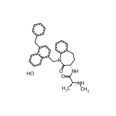 CN[C@@H](C)C(=O)N[C@H]1CCc2ccccc2N(Cc2ccc(Cc3ccccc3)c3ccccc23)C1=O.Cl